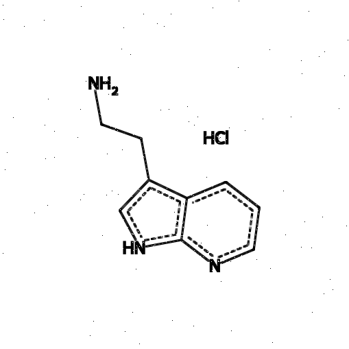 Cl.NCCc1c[nH]c2ncccc12